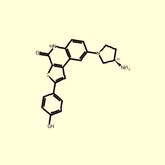 N[C@@H]1CCN(c2ccc3[nH]c(=O)c4sc(-c5ccc(O)cc5)cc4c3c2)C1